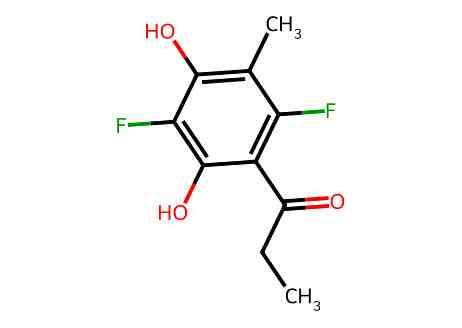 CCC(=O)c1c(O)c(F)c(O)c(C)c1F